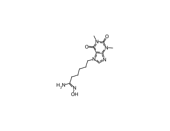 Cn1c(=O)c2c(ncn2CCCCCC(N)=NO)n(C)c1=O